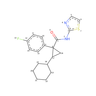 O=C(Nc1nccs1)C1(c2ccc(F)cc2)CC1C1CCCCC1